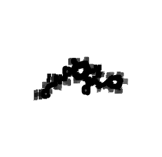 Cc1cc2ncn(Cc3ccccc3)c(=O)c2cc1OCNCCO